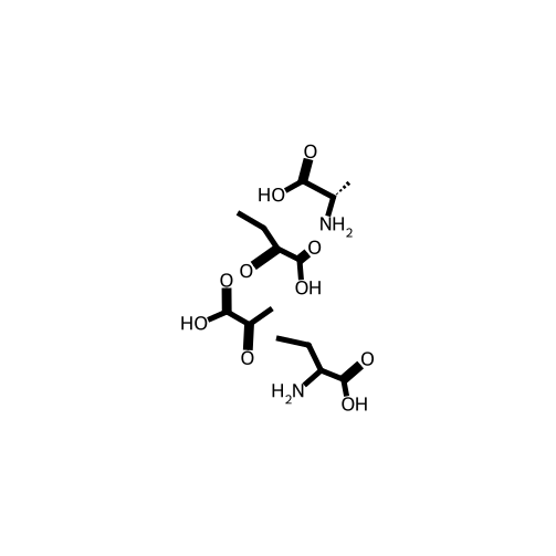 CC(=O)C(=O)O.CCC(=O)C(=O)O.CCC(N)C(=O)O.C[C@H](N)C(=O)O